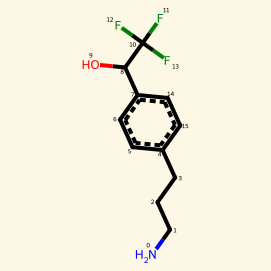 NCCCc1ccc(C(O)C(F)(F)F)cc1